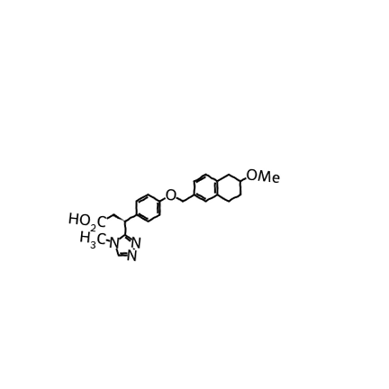 COC1CCc2cc(COc3ccc([C@H](CC(=O)O)c4nncn4C)cc3)ccc2C1